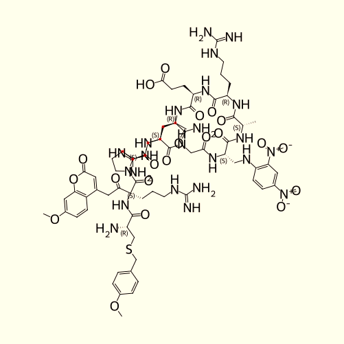 COc1ccc(CSC[C@H](N)C(=O)N[C@@](CCCNC(=N)N)(C(=O)Cc2cc(=O)oc3cc(OC)ccc23)C(=O)N2CCC[C@H]2C(=O)N[C@@H](CC(C)C)C(=O)NCC(=O)N[C@@H](CNc2ccc([N+](=O)[O-])cc2[N+](=O)[O-])C(=O)N[C@@H](C)C(=O)N[C@H](CCCNC(=N)N)C(=O)N[C@H](CCC(=O)O)C(=O)N[C@H](CCCNC(=N)N)C(N)=O)cc1